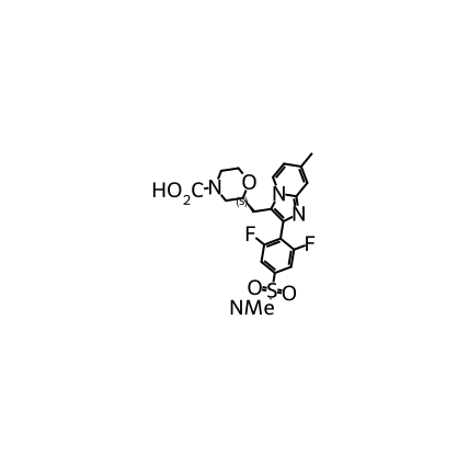 CNS(=O)(=O)c1cc(F)c(-c2nc3cc(C)ccn3c2C[C@H]2CN(C(=O)O)CCO2)c(F)c1